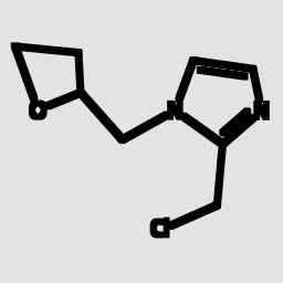 ClCc1nccn1CC1CCO1